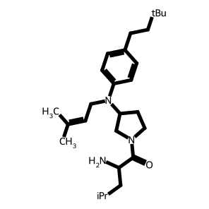 CC(C)=CCN(c1ccc(CCC(C)(C)C)cc1)C1CCN(C(=O)C(N)CC(C)C)C1